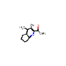 COC(=O)c1nc2c(c(C)c1C#N)CCCC2